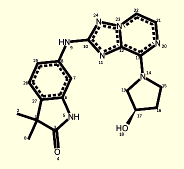 CC1(C)C(=O)Nc2cc(Nc3nc4c(N5CC[C@@H](O)C5)nccn4n3)ccc21